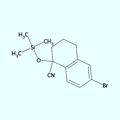 C[Si](C)(C)OC1(C#N)CCCc2cc(Br)ccc21